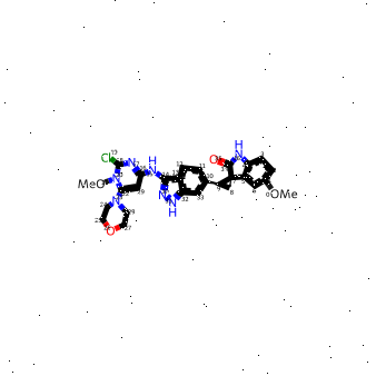 COc1ccc2c(c1)[C@]1(C[C@H]1c1ccc3c(NC4=NC(Cl)N(OC)C(N5CCOCC5)=C4)n[nH]c3c1)C(=O)N2